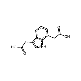 O=C(O)Cc1c[nH]c2c(CC(=O)O)cccc12